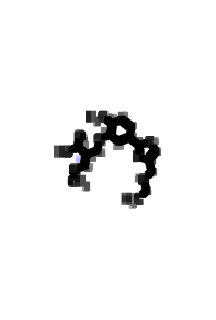 CCOCc1csc(-c2ccc(C)c(OC/C(=C/OC)C(=O)O)c2)n1